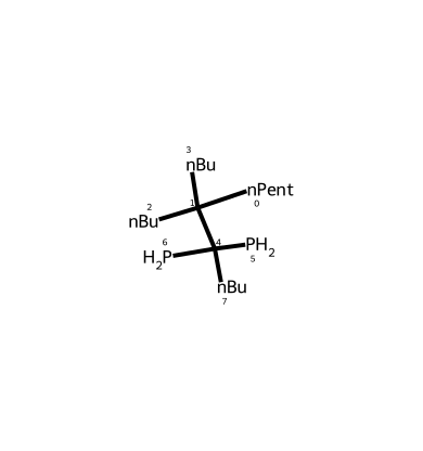 CCCCCC(CCCC)(CCCC)C(P)(P)CCCC